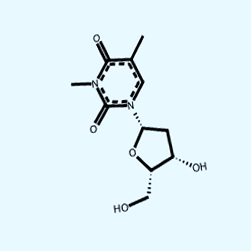 Cc1cn([C@@H]2C[C@H](O)[C@H](CO)O2)c(=O)n(C)c1=O